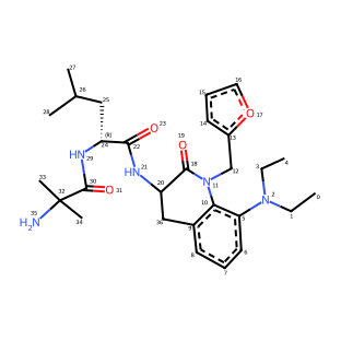 CCN(CC)c1cccc2c1N(Cc1ccco1)C(=O)C(NC(=O)[C@@H](CC(C)C)NC(=O)C(C)(C)N)C2